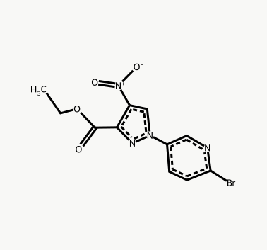 CCOC(=O)c1nn(-c2ccc(Br)nc2)cc1[N+](=O)[O-]